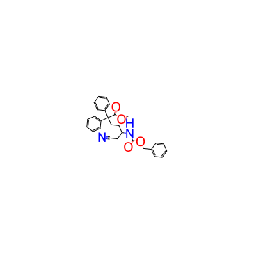 COC(=O)C(CCC(CC#N)NC(=O)OCc1ccccc1)(c1ccccc1)c1ccccc1